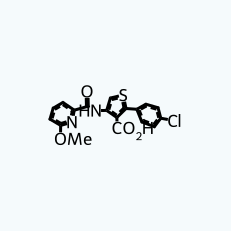 COc1cccc(C(=O)Nc2csc(-c3ccc(Cl)cc3)c2C(=O)O)n1